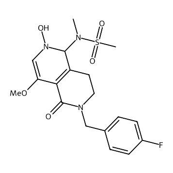 COC1=CN(O)C(N(C)S(C)(=O)=O)C2=C1C(=O)N(Cc1ccc(F)cc1)CC2